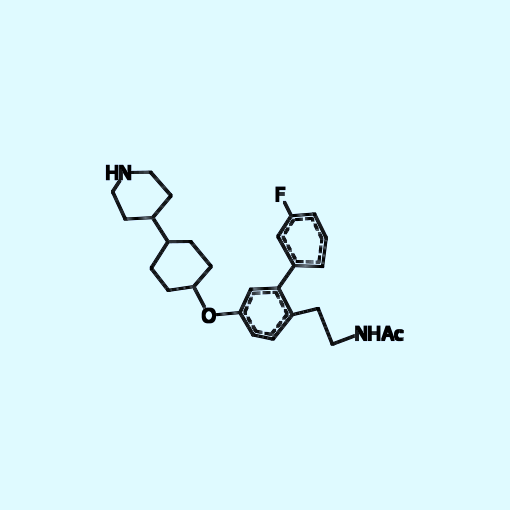 CC(=O)NCCc1ccc(OC2CCC(C3CCNCC3)CC2)cc1-c1cccc(F)c1